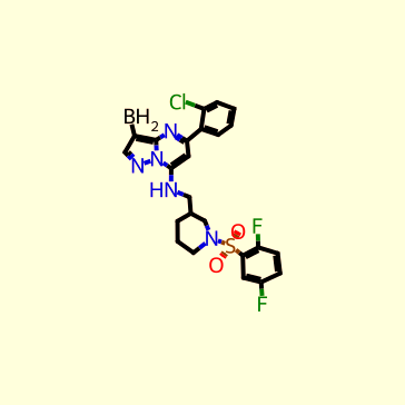 Bc1cnn2c(NCC3CCCN(S(=O)(=O)c4cc(F)ccc4F)C3)cc(-c3ccccc3Cl)nc12